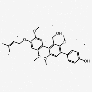 COc1cc(-c2c(OC)cc(-c3ccc(O)cc3)c(OC)c2CO)c(OC)cc1OCC=C(C)C